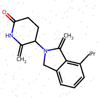 C=C1NC(=O)CCC1N1Cc2cccc(C(C)C)c2C1=C